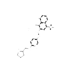 Nc1c(N=Nc2ccc(OCC3CCCO3)nc2)cc(S(=O)(=O)[O-])c2ccccc12.[Na+]